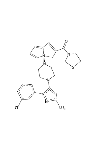 Cc1cc(N2CCN([N@@+]34C=CC=C3C=C(C(=O)N3CCSC3)C4)CC2)n(-c2cccc(Cl)c2)n1